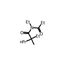 CCCC(C)(CC)C(=O)N(CC)C(=O)CC